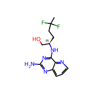 CC(F)(F)CC[C@H](CO)Nc1nc(N)nc2cccnc12